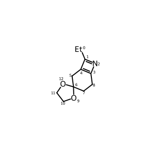 CCC1=NC2=C1CC1(CC2)OCCO1